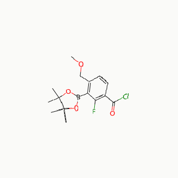 COCc1ccc(C(=O)Cl)c(F)c1B1OC(C)(C)C(C)(C)O1